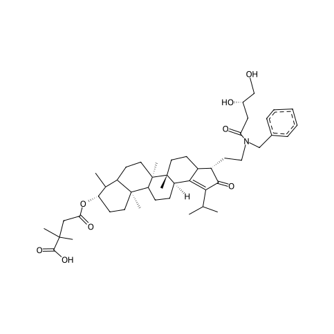 CC(C)C1=C2C(CC[C@]3(C)[C@@H]2CCC2[C@@]4(C)CC[C@H](OC(=O)CC(C)(C)C(=O)O)C(C)C4CC[C@]23C)[C@H](CCN(Cc2ccccc2)C(=O)C[C@H](O)CO)C1=O